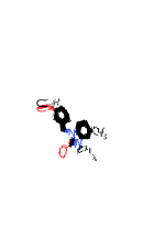 COc1cccc(Cn2c(=O)n(C)c3cc(C)ccc32)c1